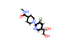 CNC(=O)C1CCN(c2ncc([C@H](O)CO)cc2Cl)CC1